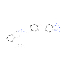 COc1cccc2c1CC(NCc1ccc(Oc3ccc4nc[nH]c4c3)cc1)C2